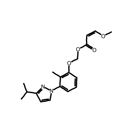 CO/C=C\C(=O)OCOc1cccc(-n2ccc(C(C)C)n2)c1C